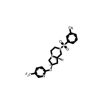 N#Cc1cccc(S(=O)(=O)N2CCN3C[C@H](Oc4ccc(C(F)(F)F)cn4)C[C@H]3C2)c1